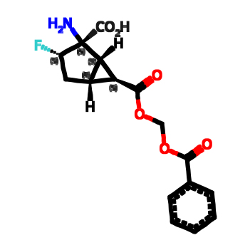 N[C@]1(C(=O)O)[C@H]2[C@@H](C[C@@H]1F)[C@@H]2C(=O)OCOC(=O)c1ccccc1